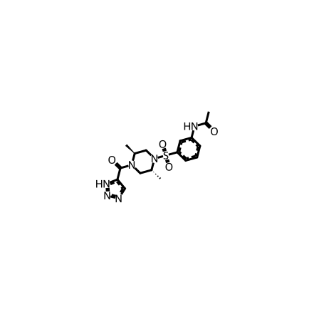 CC(=O)Nc1cccc(S(=O)(=O)N2C[C@H](C)N(C(=O)c3cnn[nH]3)C[C@H]2C)c1